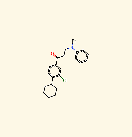 CCN(CCC(=O)c1ccc(C2CCCCC2)c(Cl)c1)c1ccccc1